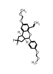 C=Cc1cc(OCOC)cc2c1O[C@@H](c1ccc(OCOC)cc1)[C@H]1CC(F)(F)C[C@@H]21